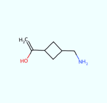 C=C(O)C1CC(CN)C1